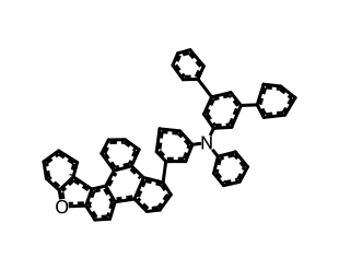 c1ccc(-c2cc(-c3ccccc3)cc(N(c3ccccc3)c3cccc(-c4cccc5c6ccc7oc8ccccc8c7c6c6ccccc6c45)c3)c2)cc1